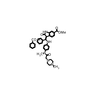 COC(=O)c1ccc2c(c1)NC(=O)C2=C(Nc1ccc(N(C)C(=O)CN2CCN(C)CC2)cc1)c1ccccc1.O=C(O)c1ccccc1